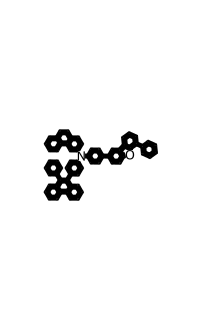 c1ccc(-c2c(-c3ccc(N(c4ccc(-c5ccc6oc7c(-c8ccccc8)cccc7c6c5)cc4)c4ccc5ccc6ccccc6c5c4)cc3)c3ccccc3c3ccccc23)cc1